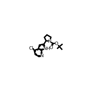 CC(C)(C)OC(=O)N1CCCC1c1cc2c(Cl)ccnc2[nH]1